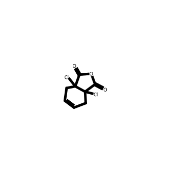 O=C1OC(=O)C2(Cl)CC=CCC12Cl